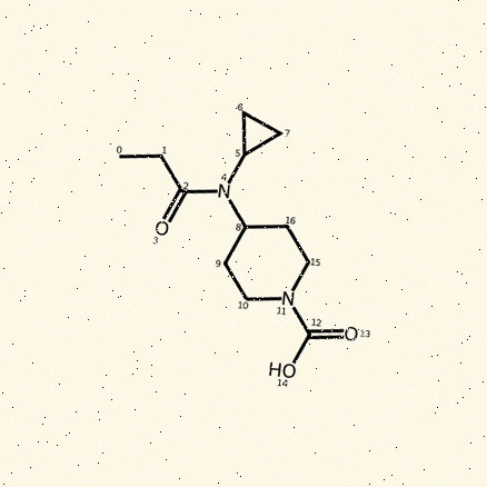 CCC(=O)N(C1CC1)C1CCN(C(=O)O)CC1